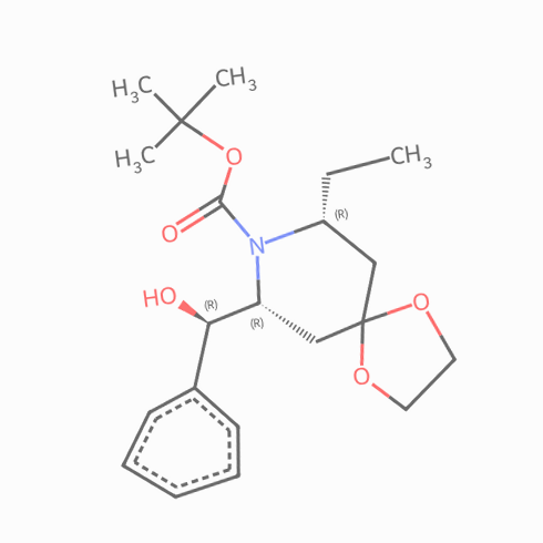 CC[C@@H]1CC2(C[C@H]([C@H](O)c3ccccc3)N1C(=O)OC(C)(C)C)OCCO2